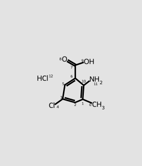 Cc1cc(Cl)cc(C(=O)O)c1N.Cl